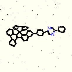 c1ccc(-c2cnc(-c3ccc(-c4ccc5c6c(ccc5c4)-c4c(c5ccccc5c5ccccc45)C64c5ccccc5-c5ccccc54)cc3)cn2)cc1